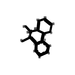 CC1=c2ccccc2=C2CC=CC=C2N1C